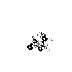 COc1c(C)cc(C(=O)N[C@@H](C)C(=O)N2CCC[C@H]2C(=O)N[C@H]2CC(=O)O[C@H]2OCc2ccccc2)cc1C